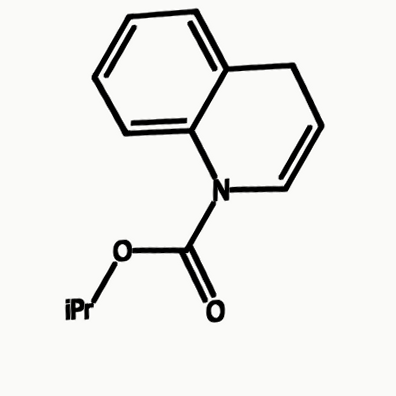 CC(C)OC(=O)N1C=CCc2ccccc21